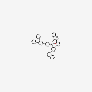 c1ccc(-c2ccc(-c3ccc(N(c4ccc5sc6ccccc6c5c4)c4cc(-c5cccc6ccccc56)ccc4-c4ccccc4)cc3)cc2-c2ccccc2)cc1